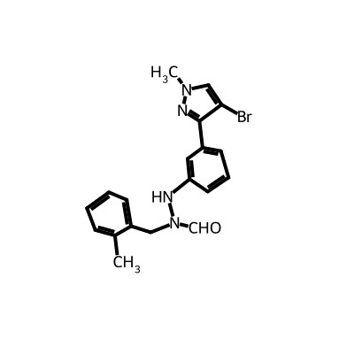 Cc1ccccc1CN(C=O)Nc1cccc(-c2nn(C)cc2Br)c1